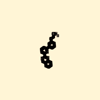 CCOc1cccc(-c2cccc(-c3ncc4ccccc4n3)n2)c1